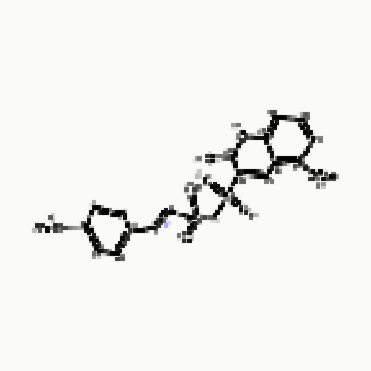 COc1ccc(/C=C/S(=O)(=O)CS(=O)(=O)c2cc3c(OC)cccc3oc2=O)cc1